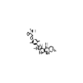 CNC(=O)COc1cc(C)c(-c2nc3c(NC4CCN(C)CC4)c(Br)cnc3[nH]2)cc1C